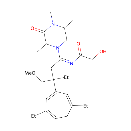 CCC1=CCC(CC)=CC(C(CC)(COC)C/C(=N/C(=O)CO)N2CC(C)N(C)C(=O)C2C)=C1